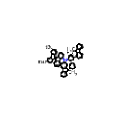 CC(C)(C)c1ccc2c(c1)-c1cc(C(C)(C)C)ccc1C21c2ccccc2-c2c(N(c3ccc(-c4cccc5c4C(C)(C)c4ccccc4-5)cc3)c3ccc4c(c3)C(C)(c3ccccc3)c3ccccc3-4)cccc21